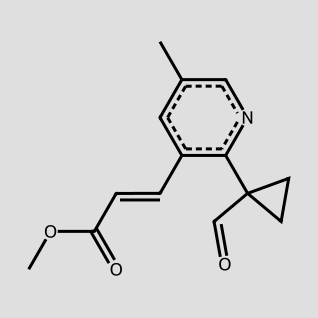 COC(=O)C=Cc1cc(C)cnc1C1(C=O)CC1